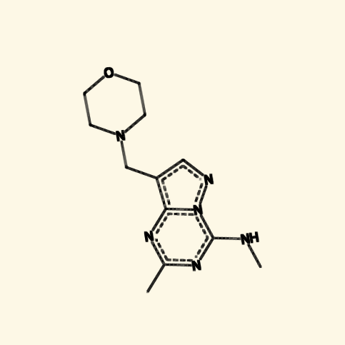 CNc1nc(C)nc2c(CN3CCOCC3)cnn12